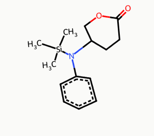 C[Si](C)(C)N(c1ccccc1)C1CCC(=O)OC1